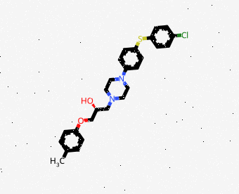 Cc1ccc(OC[C@@H](O)CN2CCN(c3ccc(Sc4ccc(Cl)cc4)cc3)CC2)cc1